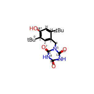 CC(C)(C)c1cc(Cn2c(=O)[nH]c(=O)[nH]c2=O)c(C(C)(C)C)cc1O